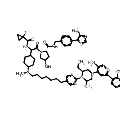 CCC1CN(c2cc(-c3ccccc3O)nnc2N)CC(C)N1c1ncc(CCCCCCCN(C)C2CCC(C(NC(=O)C3(F)CC3)C(=O)N3C[C@H](O)C[C@H]3C(=O)NCc3ccc(-c4scnc4C)cc3)CC2)cn1